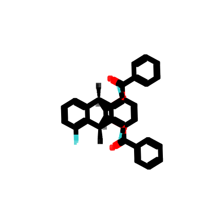 O=C(OC1C(OC(=O)c2ccccc2)[C@H]2c3cccc(F)c3[C@H]1c1c(F)ccc(F)c12)c1ccccc1